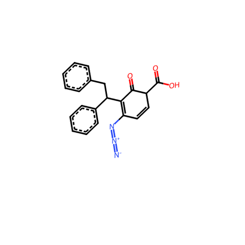 [N-]=[N+]=NC1=C(C(Cc2ccccc2)c2ccccc2)C(=O)C(C(=O)O)C=C1